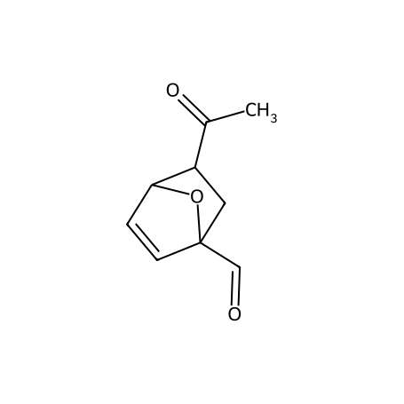 CC(=O)C1CC2(C=O)C=CC1O2